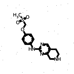 CS(=O)(=O)COc1ccc(Nc2ncc3c(n2)CNCC3)cc1